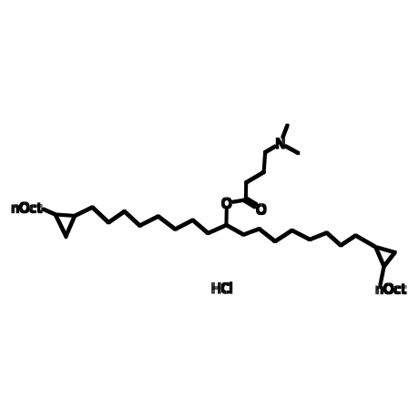 CCCCCCCCC1CC1CCCCCCCCC(CCCCCCCCC1CC1CCCCCCCC)OC(=O)CCCN(C)C.Cl